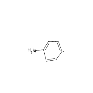 [SiH3]c1cc[c]cc1